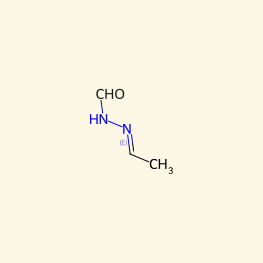 C/C=N/NC=O